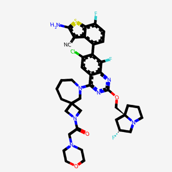 N#Cc1c(N)sc2c(F)ccc(-c3c(Cl)cc4c(N5CCCCC6(CN(C(=O)CN7CCOCC7)C6)C5)nc(OC[C@@]56CCCN5C[C@H](F)C6)nc4c3F)c12